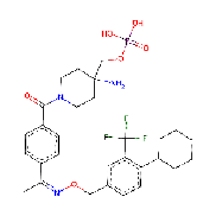 CC(=NOCc1ccc(C2CCCCC2)c(C(F)(F)F)c1)c1ccc(C(=O)N2CCC(N)(COP(=O)(O)O)CC2)cc1